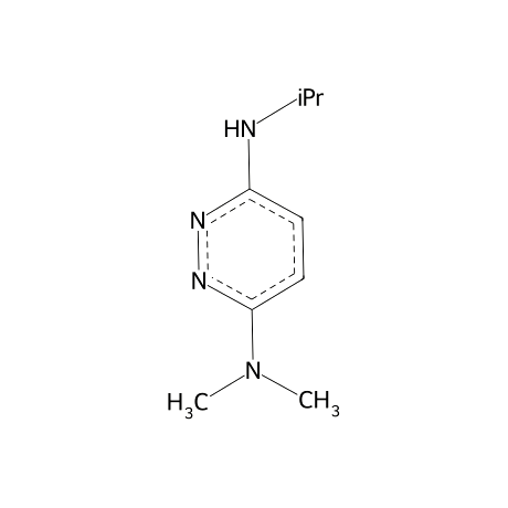 CC(C)Nc1ccc(N(C)C)nn1